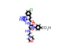 O=C(/C=C/c1cc(Cl)ccc1N1C=NNN1)N[C@@H](CC(=O)NCCN1CCOCC1)C(=O)Nc1ccc(C(=O)O)cc1